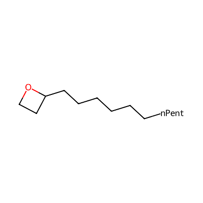 CCC[CH]CCCCCCCC1CCO1